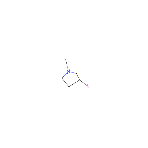 CN1CCC(I)C1